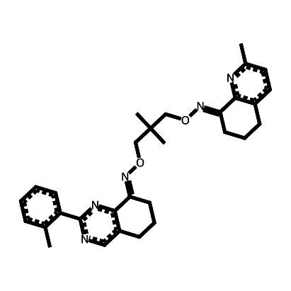 Cc1ccc2c(n1)/C(=N/OCC(C)(C)CO/N=C1\CCCc3cnc(-c4ccccc4C)nc31)CCC2